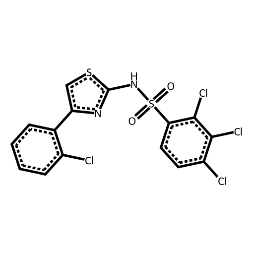 O=S(=O)(Nc1nc(-c2ccccc2Cl)cs1)c1ccc(Cl)c(Cl)c1Cl